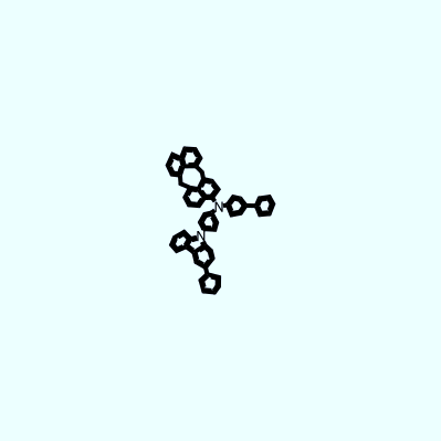 c1ccc(-c2ccc(N(c3ccc(-n4c5ccccc5c5cc(-c6ccccc6)ccc54)cc3)c3ccc4c5c(cccc35)Cc3cccc5cccc(c35)C4)cc2)cc1